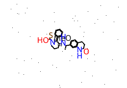 COc1cc2c(cc1C(C)N[C@H]1CCCN(C(O)=S)[C@H]1c1ccccc1)NC(=O)CC2